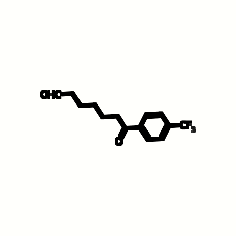 O=CCCCCCC(=O)c1ccc(C(F)(F)F)cc1